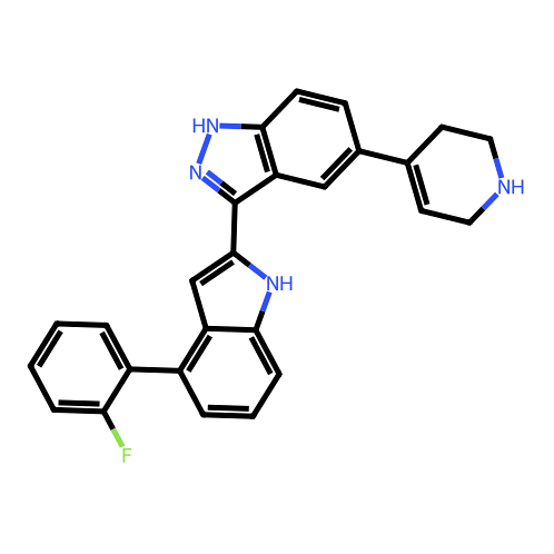 Fc1ccccc1-c1cccc2[nH]c(-c3n[nH]c4ccc(C5=CCNCC5)cc34)cc12